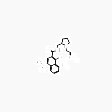 C=CCN1CCCC1CNC(=O)c1cc([N+](=O)[O-])c2ccccc2c1OC